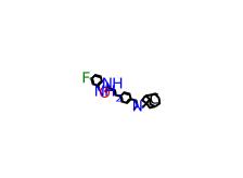 CN(Cc1ccc(/C=C/C(=O)Nc2ccc(F)cc2N)cc1)CC12CC3CC4CC(C1)C2(C4)C3